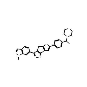 CC(c1ccc(-c2cc3c(s2)Cc2c(-c4ccc5cnn(C)c5c4)n[nH]c2-3)cc1)N1CCOCC1